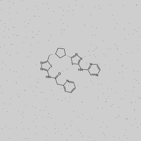 O=C(Cc1ccccn1)Nc1nnc(C[C@@H]2CC[C@H](c3nnc(Nc4cnccn4)s3)C2)s1